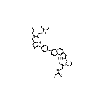 CCCN(Cc1nnc(-c2ccc(-c3ccc4c(ccc5nc(C6CCCN6C(=O)CNC(=O)CC)[nH]c54)c3)cc2)[nH]1)C(=O)CNC(=O)CC